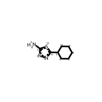 Nc1nnc(C2CCCCC2)s1